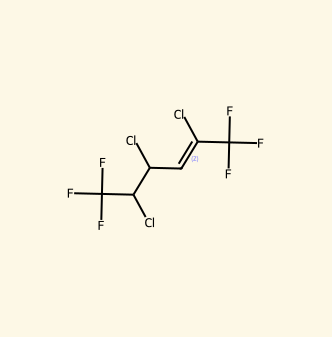 FC(F)(F)/C(Cl)=C/C(Cl)C(Cl)C(F)(F)F